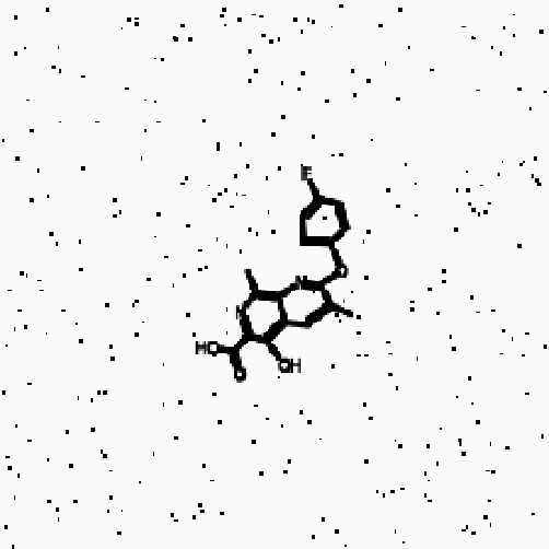 Cc1cc2c(O)c(C(=O)O)nc(C)c2nc1Oc1ccc(F)cc1